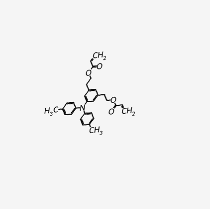 C=CC(=O)OCCc1cc(CCOC(=O)C=C)cc(N(c2ccc(C)cc2)c2ccc(C)cc2)c1